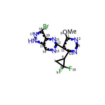 COc1ncnc(C2CC2(F)F)c1-c1ncc2[nH]nc(Br)c2n1